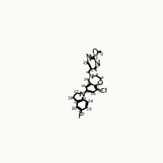 COc1ncc(CN2CCOc3c(Cl)cc(N4CCc5cc(F)ccc54)cc3C2)cn1